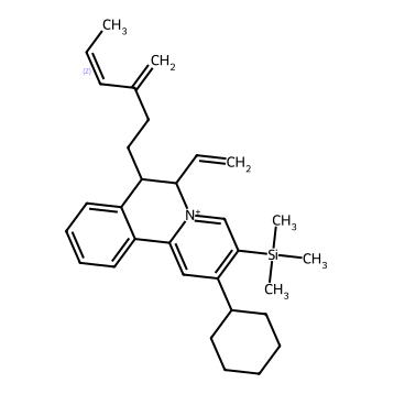 C=CC1C(CCC(=C)/C=C\C)c2ccccc2-c2cc(C3CCCCC3)c([Si](C)(C)C)c[n+]21